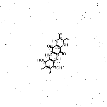 CC1=C(C)C(O)c2[nH]c3c(=O)c4c(c(=O)c=3[nH]c2C1O)NC(C)C(C)N4